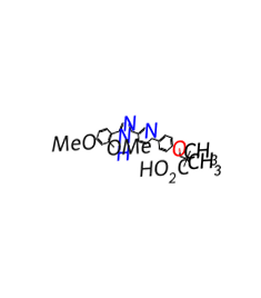 COc1ccc(-c2cnc(-c3ccc(-c4ccc(OCC(C)(C)C(=O)O)cc4)nc3)[nH]2)c(OC)c1